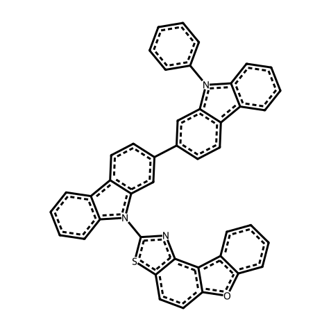 c1ccc(-n2c3ccccc3c3ccc(-c4ccc5c6ccccc6n(-c6nc7c(ccc8oc9ccccc9c87)s6)c5c4)cc32)cc1